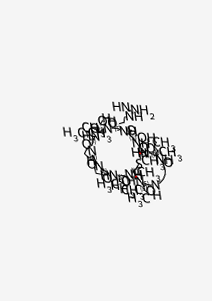 CC[C@H](C)[C@@H]1NC[C@H]2NC(=O)[C@H]([C@@H](C)CC)NC(=O)[C@@H]3CCCN3C(=O)[C@@H]3CCCN3C(=O)[C@H](CC(C)(C)C)NC(=O)[C@H](CO)NC(=O)[C@H](CCCNC(=N)N)NC(=O)[C@H](CO)NC(=O)[C@@H](NC(=O)[C@@H]([C@@H](C)CC)NC(=O)CCCCNC1=O)C(C)SC2C